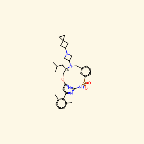 Cc1cccc(C)c1-c1cc2nc(n1)NS(=O)(=O)c1cccc(c1)CN(C1CN(C3CC4(CC4)C3)C1)[C@H](CC(C)C)CO2